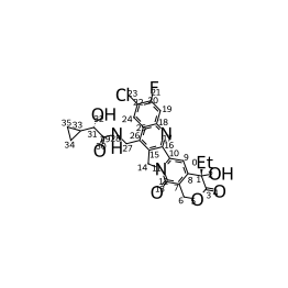 CC[C@@]1(O)C(=O)OCc2c1cc1n(c2=O)Cc2c-1nc1cc(F)c(Cl)cc1c2CNC(=O)[C@@H](O)C1CC1